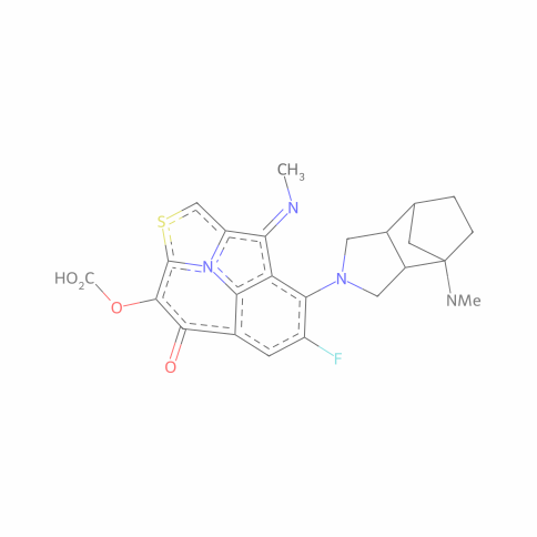 CN=c1c2c(N3CC4C5CCC(NC)(C5)C4C3)c(F)cc3c(=O)c(OC(=O)O)c4scc1n4c32